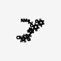 CNCCOc1cc(-n2ccccc2=O)ccc1-n1cc(CNC(=O)c2ccc(Cl)s2)nn1